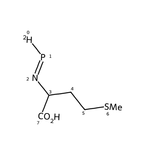 [2H]/P=N/C(CCSC)C(=O)O